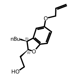 C=CCOc1ccc2c(c1)[C@H](CCCC)[C@H](CCO)O2